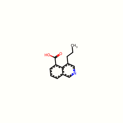 CCCc1cncc2cccc(C(=O)O)c12